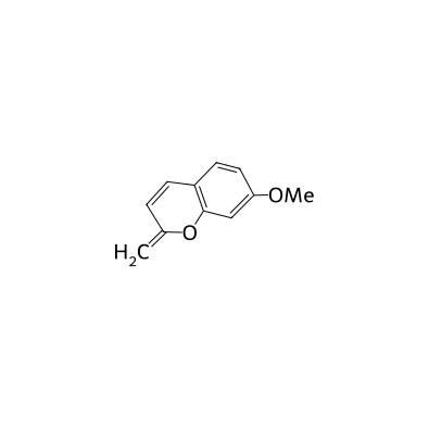 C=C1C=Cc2ccc(OC)cc2O1